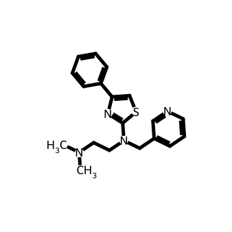 CN(C)CCN(Cc1cccnc1)c1nc(-c2ccccc2)cs1